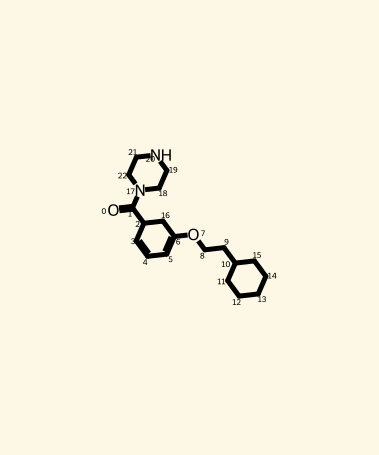 O=C(C1C=CC=C(OCCC2CCCCC2)C1)N1CCNCC1